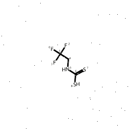 FC(F)(F)CNC(=S)S